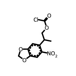 CC(COC(=O)Cl)c1cc2c(cc1[N+](=O)[O-])OCO2